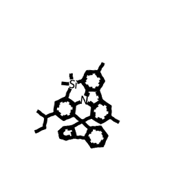 CCC(C)c1cc2c3c(c1)[Si](C)(C)c1cc(C)cc4c5cc(C)cc(c5n-3c14)C21c2ccccc2-c2ccccc21